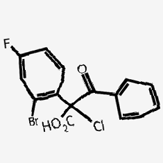 O=C(O)C(Cl)(C(=O)c1ccccc1)c1ccc(F)cc1Br